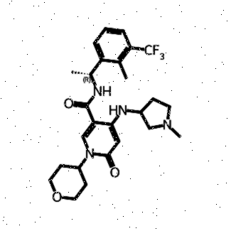 Cc1c([C@@H](C)NC(=O)c2cn(C3CCOCC3)c(=O)cc2NC2CCN(C)C2)cccc1C(F)(F)F